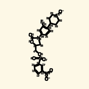 O=C1OC(COS(=O)(=O)c2cccc([N+](=O)[O-])c2)CN1c1ccc(C2CC[S+]([O-])CC2)c(F)c1